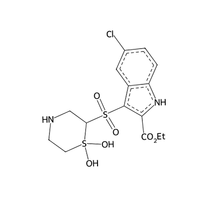 CCOC(=O)c1[nH]c2ccc(Cl)cc2c1S(=O)(=O)C1CNCCS1(O)O